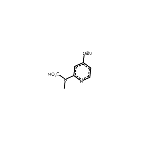 CC(C)COc1ccnc(N(C)C(=O)O)c1